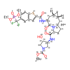 CCOP(=O)(OCC)C(F)(F)c1ccc2sc(C(=O)N[C@H]3C[C@@H]4C[C@@H]4C[C@H]4CC[C@@H](C(=O)N[C@H]5CN(C(=O)OC(C)(C)C)C[C@@H]5O)N4C3=O)cc2c1